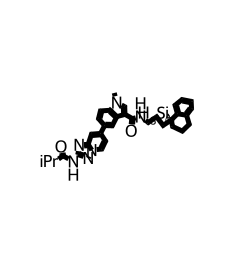 CC(C)C(=O)Nc1nc2cc(-c3ccc4c(c3)c(C(=O)NCCC[C@]3([SiH3])CCCc5ccccc53)cn4C)ccn2n1